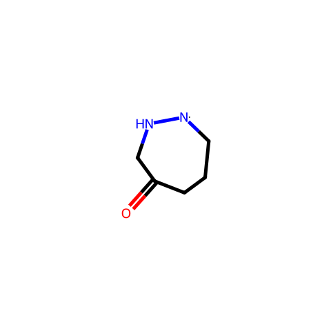 O=C1CCC[N]NC1